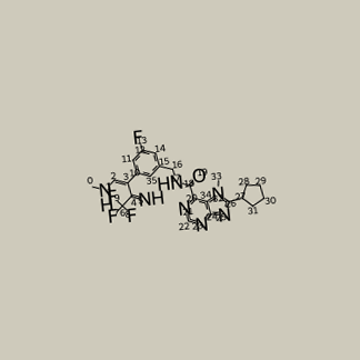 CN/C=C(\C(=N)C(F)(F)F)c1cc(F)cc(CNC(=O)c2ncnc3nc(C4CCCC4)n(C)c23)c1